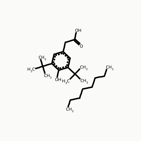 CC(C)(C)c1cc(CC(=O)O)cc(C(C)(C)C)c1O.CCCCCCCC